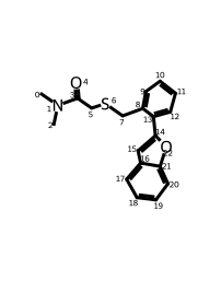 CN(C)C(=O)CSCc1ccccc1-c1cc2ccccc2o1